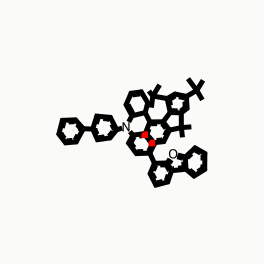 CC(C)(C)c1cc(C(C)(C)C)c2c(c1)C(C)(C)c1cccc(C3CC=CC=C3N(c3ccc(-c4ccccc4)cc3)c3ccc(-c4cccc5c4oc4ccccc45)cc3)c1-2